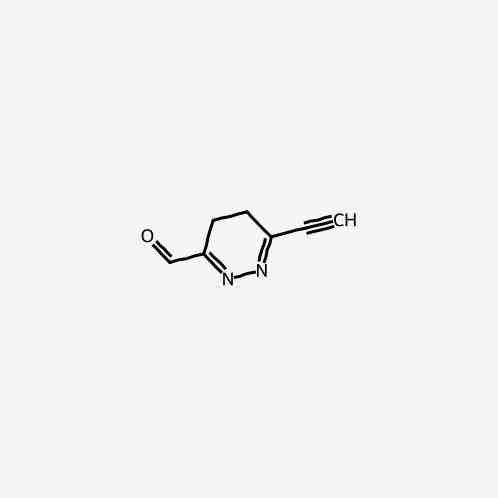 C#CC1=NN=C(C=O)CC1